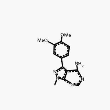 COc1ccc(-c2nn(C)c3ncnc(N)c23)cc1OC